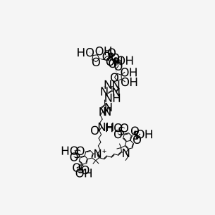 CCN1/C(=C/C=C/C=C/C2=[N+](CCCCCC(=O)NCCCn3cc(CNc4ncnc5c4ncn5[C@@H]4O[C@H](COP(=O)(O)OP(=O)(O)OC[C@H]5OC[C@H](O)[C@@H]5O)[C@@H](O)[C@H]4O)nn3)c3ccc4c(S(=O)(=O)O)cc(S(=O)(=O)O)cc4c3C2(C)C)C(C)(C)c2c1ccc1c(S(=O)(=O)O)cc(S(=O)(=O)O)cc21